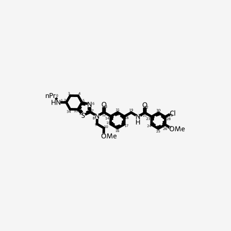 CCCNC1CCc2nc(N(CCOC)C(=O)c3cccc(CNC(=O)c4ccc(OC)c(Cl)c4)c3)sc2C1